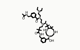 CCN(CC)CCN(CCN(CC)CCC(C)(C)C(=O)NCc1cccc(C(O)N2CCNCC(C)(C)C(C(C)(C)C)NCC2)c1)C(=O)c1cccc(CNC(C)=O)c1